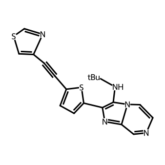 CC(C)(C)Nc1c(-c2ccc(C#Cc3cscn3)s2)nc2cnccn12